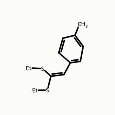 CCSC(=Cc1ccc(C)cc1)SCC